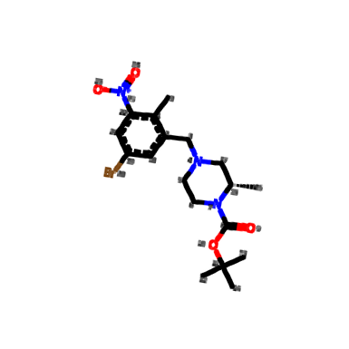 Cc1c(CN2CCN(C(=O)OC(C)(C)C)[C@@H](C)C2)cc(Br)cc1[N+](=O)[O-]